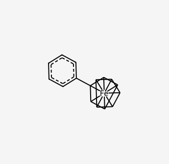 c1ccc([C]23[CH]4[CH]5[CH]6[CH]2[Fe]56432789[CH]3[CH]2[CH]7[CH]8[CH]39)cc1